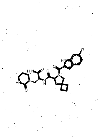 NC(=O)[C@H](C[C@@H]1CCCNC1=O)NC(=O)C1CC2(CCC2)CN1C(=O)c1cc2ccc(Cl)cc2[nH]1